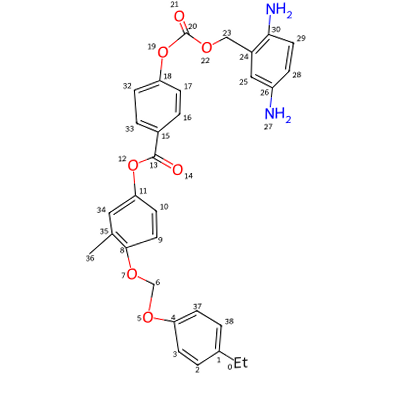 CCc1ccc(OCOc2ccc(OC(=O)c3ccc(OC(=O)OCc4cc(N)ccc4N)cc3)cc2C)cc1